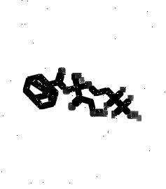 COCC(=O)C(OCCC(F)(F)C(C)(F)F)(OC(=O)C12CC3CC(CC(C3)C1)C2)C(F)(F)F